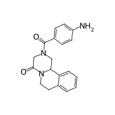 Nc1ccc(C(=O)N2CC(=O)N3CCc4ccccc4C3C2)cc1